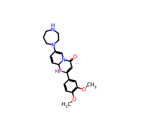 COc1ccc(C2=CC(=O)N3C=C(N4CCCNCC4)C=CC3P2)cc1OC